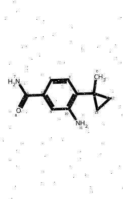 CC1(c2ccc(C(N)=O)cc2N)CC1